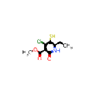 CCc1[nH]c(=O)c(C(=O)OC)c(Cl)c1S